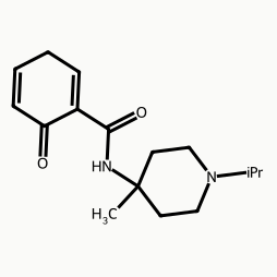 CC(C)N1CCC(C)(NC(=O)C2=CCC=CC2=O)CC1